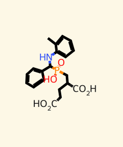 Cc1ccccc1NC(c1ccccc1)P(=O)(O)CC(CCC(=O)O)C(=O)O